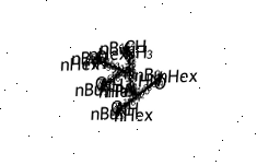 CCCCCCC(CCCC)C(=O)NCCCCCCCC(CCCCCCNC(=O)C(CCCC)CCCCCC)CCN(CCC)CCCCCN(CCCCCCNC(C)C(CCCC)CCCCCC)CCC(CCCCCCCNC(=O)C(CCCC)CCCCCC)CCCCCCNC(=O)C(CCCC)CCCCCC